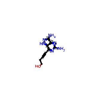 Nc1nc(C#CCCO)c2[nH]nc(N)c2n1